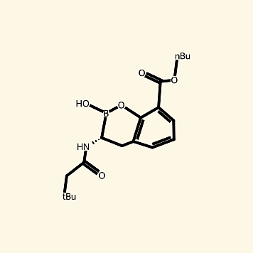 CCCCOC(=O)c1cccc2c1OB(O)[C@@H](NC(=O)CC(C)(C)C)C2